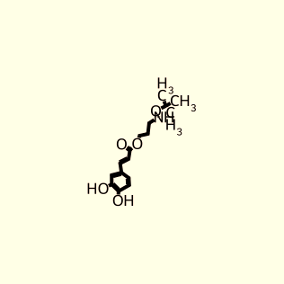 CC(C)(C)ONCCCOC(=O)C=Cc1ccc(O)c(O)c1